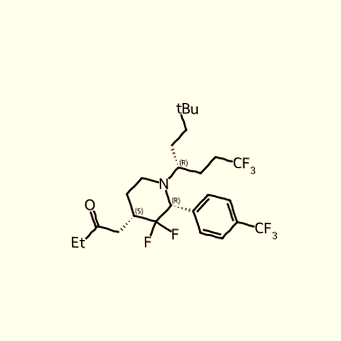 CCC(=O)C[C@@H]1CCN([C@H](CCC(C)(C)C)CCC(F)(F)F)[C@H](c2ccc(C(F)(F)F)cc2)C1(F)F